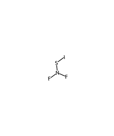 FN(F)SI